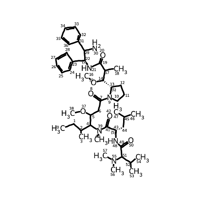 CCC(C)C(C(CC(=O)N1CCC[C@H]1C(OC)C(C)C(=O)N[C@@H](c1ccccc1)C(N)c1ccccc1)OC)N(C)C(=O)[C@H](CC(C)C)NC(=O)C(C(C)C)N(C)C